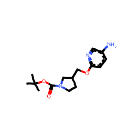 CC(C)(C)OC(=O)N1CCC(COc2ccc(N)cn2)C1